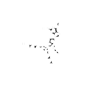 CCOc1nc(N)nc2c1ncn2[C@@H]1O[C@](CN=[N+]=[N-])(COP(=O)(OCOC(=O)OC(C)C)OCOC(=O)OC(C)C)[C@@H](O)[C@H]1F